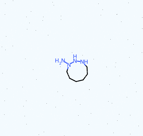 NN1CCCCCCNN1